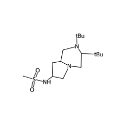 CC(C)(C)C1CN2CC(NS(C)(=O)=O)CC2CN1C(C)(C)C